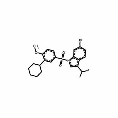 COc1ccc(S(=O)(=O)n2cc(C(F)F)c3ccc(Br)cc32)cc1C1CCCCC1